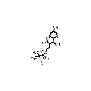 Cc1cnc(C(O)C(CCO[Si](C)(C)C(C)(C)C)[N+](=O)[O-])nc1